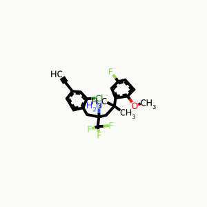 C#Cc1ccc(CC(N)(CC(C)(C)c2cc(F)ccc2OC)C(F)(F)F)c(Cl)c1